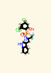 O=S(=O)(NC(Cc1c[nH]c2ccccc12)C(F)(F)F)c1c(O)cc(Cl)cc1Cl